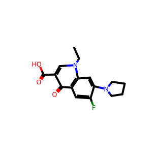 CCn1cc(C(=O)O)c(=O)c2cc(F)c(N3CCCC3)cc21